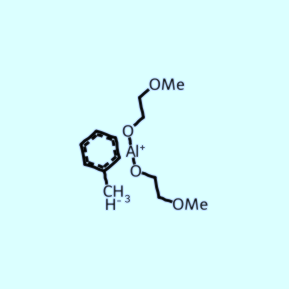 COCC[O][Al+][O]CCOC.Cc1ccccc1.[H-]